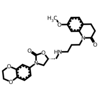 COc1ccc2c(c1)N(CCCNC[C@@H]1CN(c3ccc4c(c3)OCCO4)C(=O)O1)C(=O)CC2